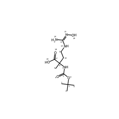 CC(C)(C)OC(=O)NC(C)(CCN/C(N)=N\O)C(=O)O